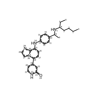 CCCCC(CC)NC(C)c1ccc(Nc2ccc(-c3cc[nH]c(=O)c3)n3ccnc23)cc1